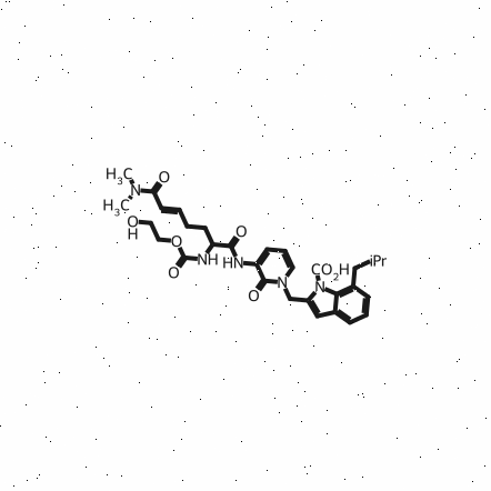 CC(C)Cc1cccc2cc(Cn3cccc(NC(=O)C(CCC=CC(=O)N(C)C)NC(=O)OCCO)c3=O)n(C(=O)O)c12